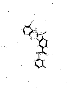 Cc1ccnc(NC(=O)c2ccc3c(c2)nc(Nc2c(Cl)cccc2Cl)n3C)c1